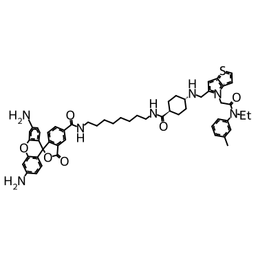 CCN(C(=O)Cn1c(CN[C@H]2CC[C@H](C(=O)NCCCCCCCCNC(=O)c3ccc4c(c3)C(=O)OC43c4ccc(N)cc4Oc4cc(N)ccc43)CC2)cc2sccc21)c1cccc(C)c1